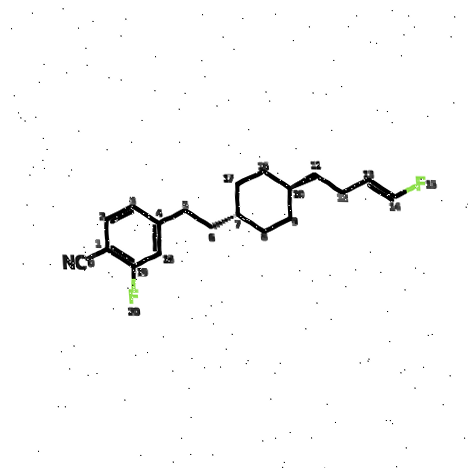 N#Cc1ccc(CC[C@H]2CC[C@H](CC/C=C/F)CC2)cc1F